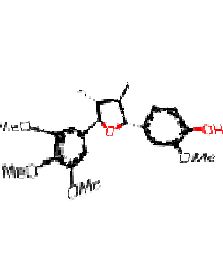 COc1cc([C@@H]2O[C@@H](c3cc(OC)c(OC)c(OC)c3)[C@H](C)[C@H]2C)ccc1O